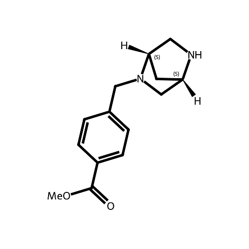 COC(=O)c1ccc(CN2C[C@@H]3C[C@H]2CN3)cc1